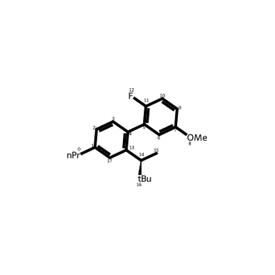 CCCc1ccc(-c2cc(OC)ccc2F)c([C@@H](C)C(C)(C)C)c1